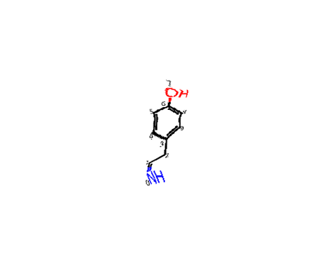 N=CCc1ccc(O)cc1